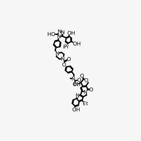 CCc1c2c(nc3ccc(O)cc13)-c1cc3c(c(=O)n1C2)COC(=O)C3(CC)OC(O)N(C)Cc1ccc(OC(=O)N2CCN(Cc3ccc(-n4c(O)nnc4-c4cc(C(C)C)c(O)cc4O)cc3)CC2)cc1